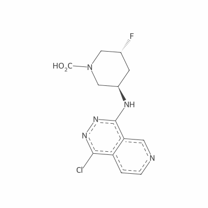 O=C(O)N1C[C@H](F)C[C@@H](Nc2nnc(Cl)c3ccncc23)C1